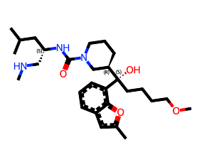 CNC[C@H](CC(C)C)NC(=O)N1CCC[C@@H]([C@@](O)(CCCCOC)c2cccc3cc(C)oc23)C1